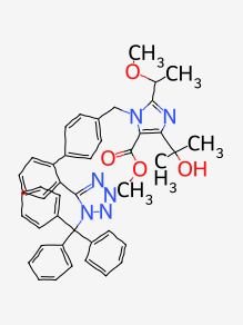 COC(=O)c1c(C(C)(C)O)nc(C(C)OC)n1Cc1ccc(-c2ccccc2-c2nnnn2C(c2ccccc2)(c2ccccc2)c2ccccc2)cc1